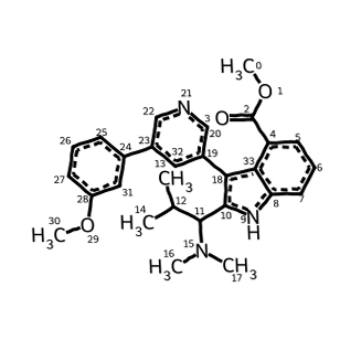 COC(=O)c1cccc2[nH]c(C(C(C)C)N(C)C)c(-c3cncc(-c4cccc(OC)c4)c3)c12